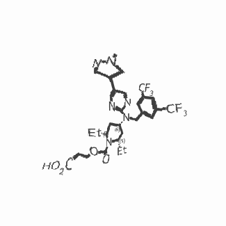 CC[C@@H]1C[C@H](N(Cc2cc(C(F)(F)F)cc(C(F)(F)F)c2)c2ncc(C3C=NN(C)C3)cn2)C[C@H](CC)N1C(=O)OCCC(=O)O